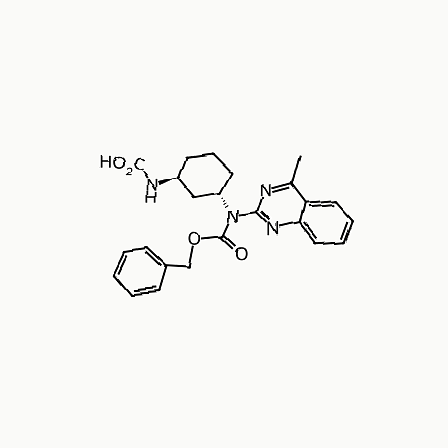 Cc1nc(N(C(=O)OCc2ccccc2)[C@H]2CCC[C@H](NC(=O)O)C2)nc2ccccc12